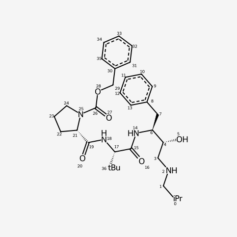 CC(C)CNC[C@@H](O)[C@H](Cc1ccccc1)NC(=O)[C@@H](NC(=O)[C@@H]1CCCN1C(=O)OCc1ccccc1)C(C)(C)C